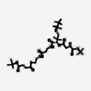 CC(C)(C)OC(=O)CCC(=O)SCCNC(=O)CCNC(=O)C(OC(=O)CNC(=O)OC(C)(C)C)C(C)(C)CO[Si](C)(C)C(C)(C)C